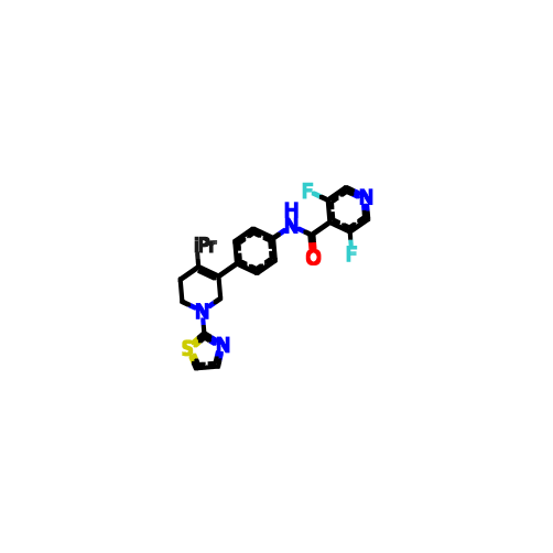 CC(C)C1=C(c2ccc(NC(=O)c3c(F)cncc3F)cc2)CN(c2nccs2)CC1